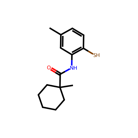 Cc1ccc(S)c(NC(=O)C2(C)CCCCC2)c1